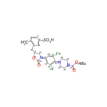 Cc1ccc(S(=O)(=O)O)cc1CC1CN(c2cc(F)c(N3CCN(C(=O)OC(C)(C)C)CC3)c(F)c2)C(=O)O1